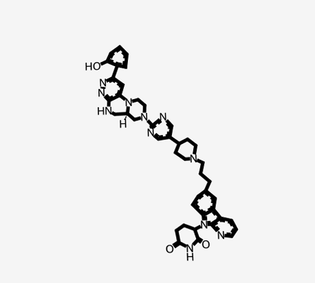 O=C1CCC(n2c3ccc(CCCN4CCC(c5cnc(N6CCN7c8cc(-c9ccccc9O)nnc8NC[C@@H]7C6)nc5)CC4)cc3c3cccnc32)C(=O)N1